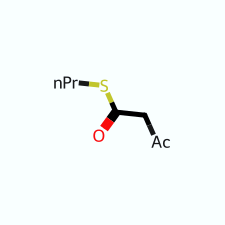 CCCSC(=O)CC(C)=O